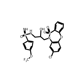 N=S(=O)(NCC(O)CN1c2cc(Cl)ccc2Oc2ccccc2S1(=O)=O)c1ccc(OC(F)(F)F)cc1